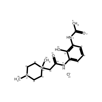 CC(=O)Nc1cccc(NC(=O)C[N+]2(C)CCN(C)CC2)c1O.[Cl-]